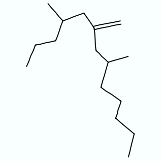 C=C(CC(C)CCC)CC(C)CCCCC